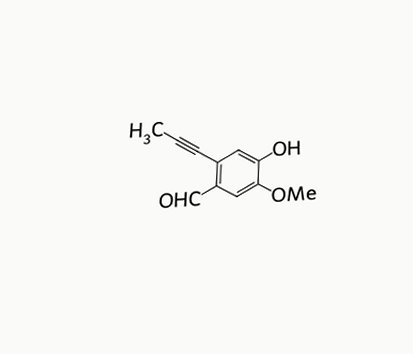 CC#Cc1cc(O)c(OC)cc1C=O